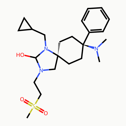 CN(C)[C@]1(c2ccccc2)CC[C@]2(CC1)CN(CCS(C)(=O)=O)C(O)N2CC1CC1